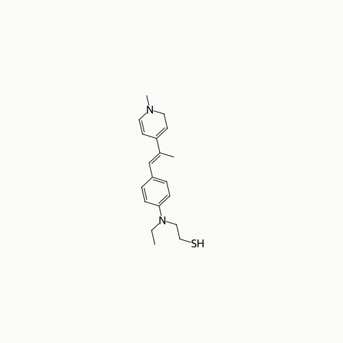 CCN(CCS)c1ccc(/C=C(\C)C2=CCN(C)C=C2)cc1